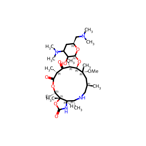 CC[C@@H]1OC(=O)[C@H](C)C(=O)[C@H](C)[C@@H](O[C@@H]2O[C@H](CN(C)C)CC(N(C)C)C2O)[C@](C)(OC)C[C@@H](C)CN[C@H](C)[C@H]2NC(=O)O[C@]12C